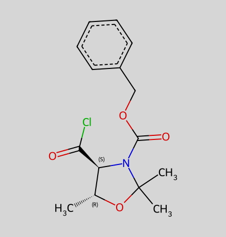 C[C@H]1OC(C)(C)N(C(=O)OCc2ccccc2)[C@@H]1C(=O)Cl